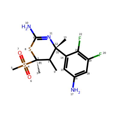 CC1[C@@](C)(S(C)(=O)=O)SC(N)=N[C@]1(C)c1cc(N)cc(F)c1F